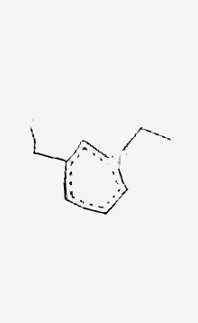 CC[n+]1cccc(CO)c1